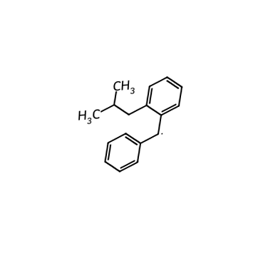 CC(C)Cc1ccccc1[CH]c1ccccc1